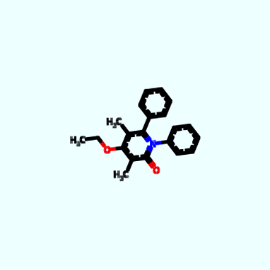 CCOc1c(C)c(-c2ccccc2)n(-c2ccccc2)c(=O)c1C